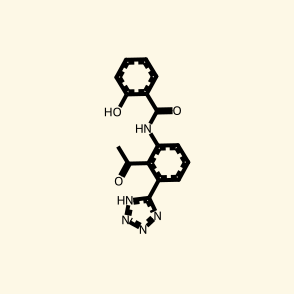 CC(=O)c1c(NC(=O)c2ccccc2O)cccc1-c1nnn[nH]1